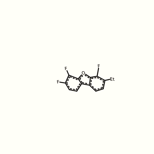 CCc1ccc2c(oc3c(F)c(F)ccc32)c1F